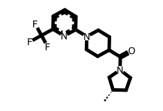 C[C@H]1CCN(C(=O)C2CCN(c3cccc(C(F)(F)F)n3)CC2)C1